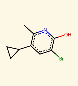 Cc1nc(O)c(Br)cc1C1CC1